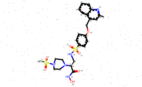 CCCS(=O)(=O)N1CCN([C@@H](CNS(=O)(=O)c2ccc(OCc3cc(C)nc4ccccc34)cc2)C(=O)NO)CC1